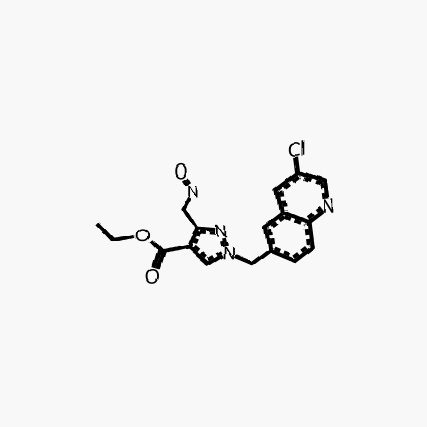 CCOC(=O)c1cn(Cc2ccc3ncc(Cl)cc3c2)nc1CN=O